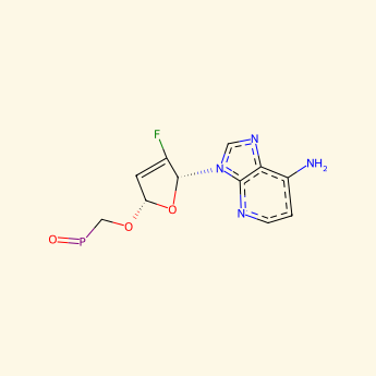 Nc1ccnc2c1ncn2[C@@H]1O[C@H](OCP=O)C=C1F